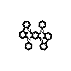 c1ccc(-n2c3cc4c(cc3n3c5ccccc5c5cccc2c53)n(-c2ccccc2)c2cccc3c5ccccc5n4c32)cc1